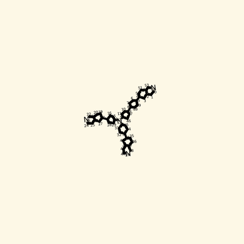 c1cc2cc(-c3ccc(-c4ccc(N(c5ccc(-c6ccc7cnccc7c6)cc5)c5ccc(-c6ccc7cnccc7c6)cc5)cc4)cc3)ccc2cn1